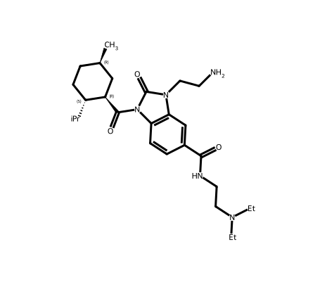 CCN(CC)CCNC(=O)c1ccc2c(c1)n(CCN)c(=O)n2C(=O)[C@@H]1C[C@H](C)CC[C@H]1C(C)C